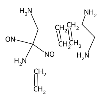 C=C.C=C.C=C.NCC(N)(N=O)N=O.NCCN